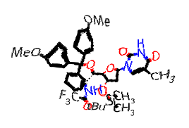 COc1ccc(C(O[C@@H](CNC(=O)C(F)(F)F)[C@H]2O[C@@H](n3cc(C)c(=O)[nH]c3=O)C[C@@H]2O[Si](C)(C)C(C)(C)C)(c2ccccc2)c2ccc(OC)cc2)cc1